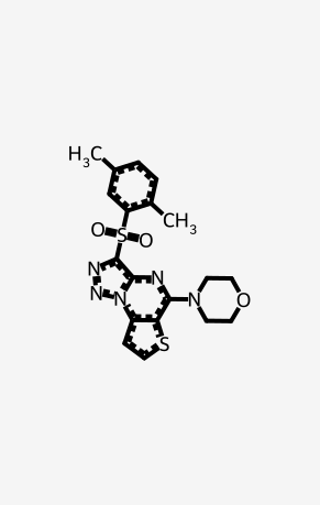 Cc1ccc(C)c(S(=O)(=O)c2nnn3c2nc(N2CCOCC2)c2sccc23)c1